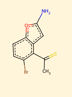 CC(=S)c1c(Br)ccc2oc(N)cc12